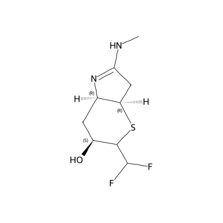 CNC1=N[C@@H]2C[C@H](O)C(C(F)F)S[C@@H]2C1